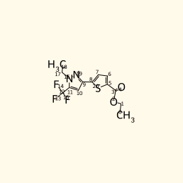 CCOC(=O)c1ccc(-c2cc(C(F)(F)F)n(CC)n2)s1